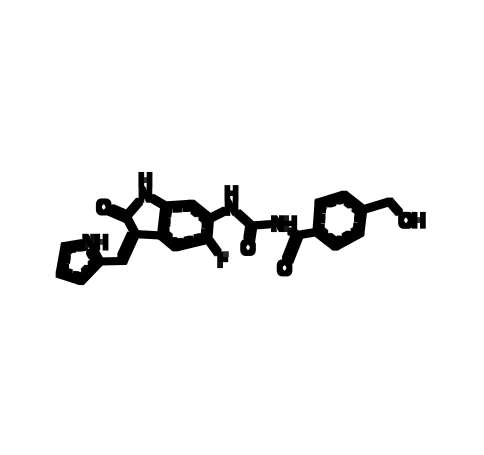 O=C(NC(=O)c1ccc(CO)cc1)Nc1cc2c(cc1F)/C(=C/c1ccc[nH]1)C(=O)N2